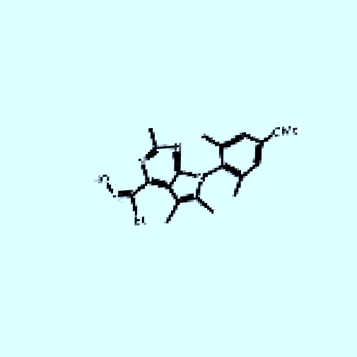 CC/C(=N/O)c1nc(C)nc2c1c(C)c(C)n2-c1c(C)cc(OC)cc1C